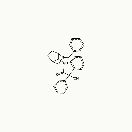 O=C(NC1C2CCC1N(Cc1ccccc1)C2)C(O)(c1ccccc1)c1ccccc1